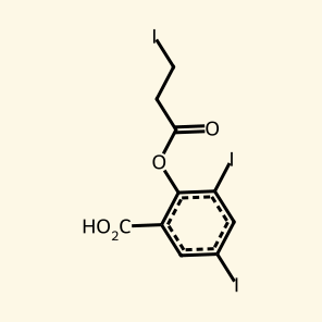 O=C(CCI)Oc1c(I)cc(I)cc1C(=O)O